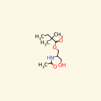 CCC(C)(C)C(=O)OCC(CO)NC(C)=O